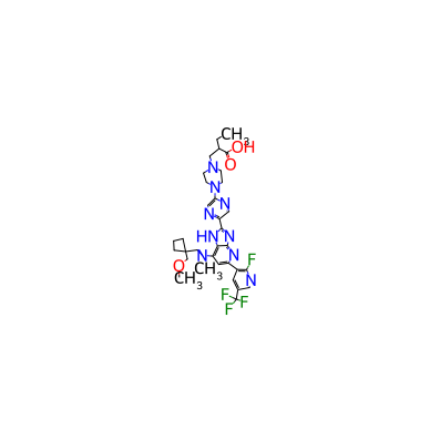 CCC(CN1CCN(c2cnc(-c3nc4nc(-c5cc(C(F)(F)F)cnc5F)cc(N(C)CC5(COC)CCC5)c4[nH]3)cn2)CC1)C(=O)O